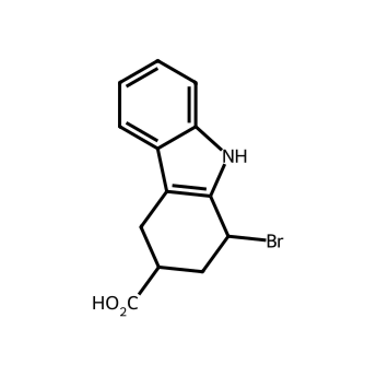 O=C(O)C1Cc2c([nH]c3ccccc23)C(Br)C1